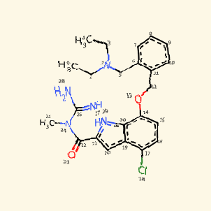 CCN(CC)Cc1ccccc1COc1ccc(Cl)c2cc(C(=O)N(C)C(=N)N)[nH]c12